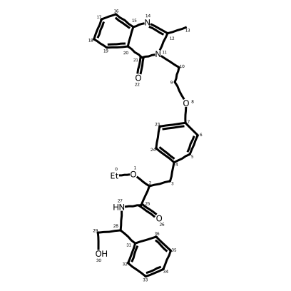 CCOC(Cc1ccc(OCCn2c(C)nc3ccccc3c2=O)cc1)C(=O)NC(CO)c1ccccc1